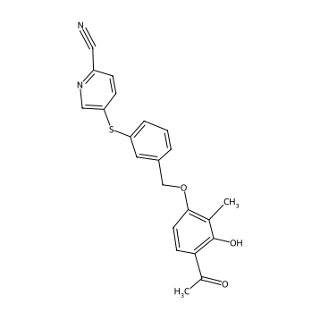 CC(=O)c1ccc(OCc2cccc(Sc3ccc(C#N)nc3)c2)c(C)c1O